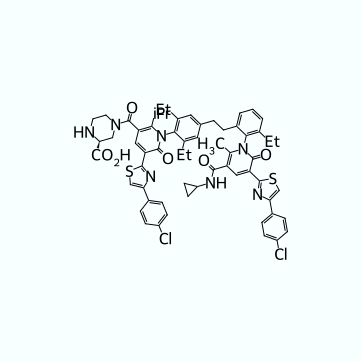 CCc1cccc(CCc2cc(CC)c(-n3c(C(C)C)c(C(=O)N4CCN[C@H](C(=O)O)C4)cc(-c4nc(-c5ccc(Cl)cc5)cs4)c3=O)c(CC)c2)c1-n1c(C)c(C(=O)NC2CC2)cc(-c2nc(-c3ccc(Cl)cc3)cs2)c1=O